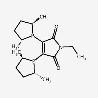 CCN1C(=O)C(P2[C@H](C)CC[C@H]2C)=C(P2[C@H](C)CC[C@H]2C)C1=O